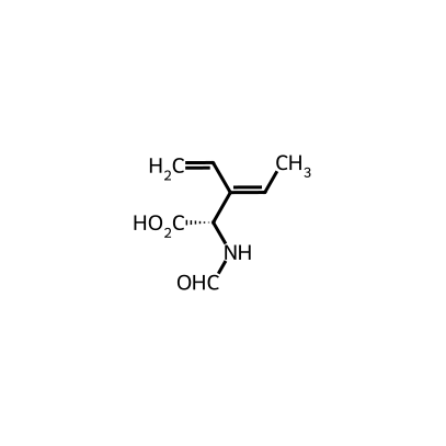 C=C/C(=C\C)[C@H](NC=O)C(=O)O